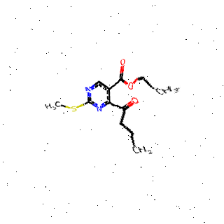 CCCC(=O)c1nc(SC)ncc1C(=O)OCC